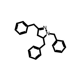 c1ccc(CC2=NN(Cc3ccccc3)C(Cc3ccccc3)C2)cc1